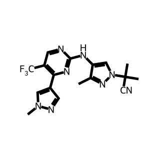 Cc1nn(C(C)(C)C#N)cc1Nc1ncc(C(F)(F)F)c(-c2cnn(C)c2)n1